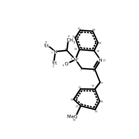 CCN(CC)C(C)[N+]1([O-])CC(Cc2ccc(OC)cc2)=Nc2ccccc21